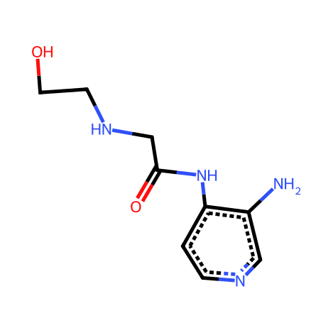 Nc1cnccc1NC(=O)CNCCO